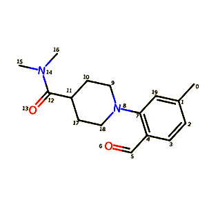 Cc1ccc(C=O)c(N2CCC(C(=O)N(C)C)CC2)c1